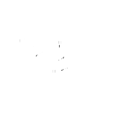 C[C@]12C=CC(O)CC1CC[C@@H]1[C@H]2CC[C@@]2(C)[C@H]1CCC2(O)Br